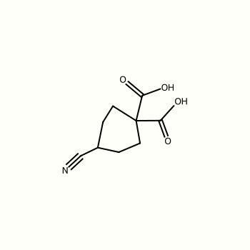 N#CC1CCC(C(=O)O)(C(=O)O)CC1